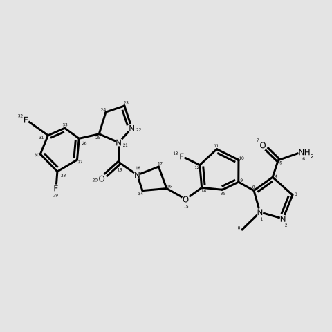 Cn1ncc(C(N)=O)c1-c1ccc(F)c(OC2CN(C(=O)N3N=CCC3c3cc(F)cc(F)c3)C2)c1